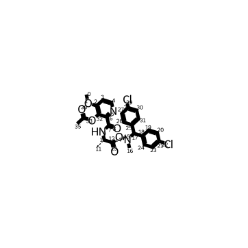 COc1ccnc(C(=O)N[C@@H](C)C(=O)ON(C)C(c2ccc(Cl)cc2)c2ccc(Cl)cc2)c1OC(C)=O